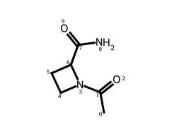 CC(=O)N1CCC1C(N)=O